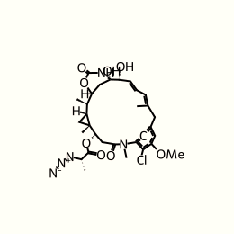 COc1cc2cc(c1Cl)N(C)C(=O)C[C@H](OC(=O)[C@H](C)N=[N+]=[N-])[C@]1(C)C[C@@H]1[C@@H](C)[C@@H]1C[C@@](O)(NC(=O)O1)[C@H](O)/C=C/C=C(\C)C2